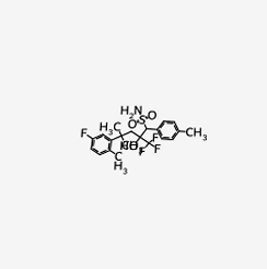 Cc1ccc(C(C(O)(CC(C)(C)c2cc(F)ccc2C)C(F)(F)F)S(N)(=O)=O)cc1